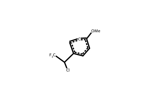 COc1ccc(C(Cl)C(F)(F)F)cc1